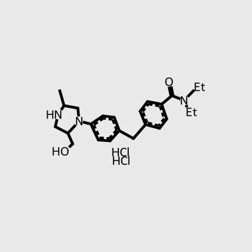 CCN(CC)C(=O)c1ccc(Cc2ccc(N3CC(C)NCC3CO)cc2)cc1.Cl.Cl